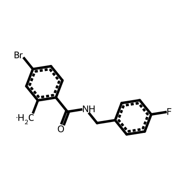 [CH2]c1cc(Br)ccc1C(=O)NCc1ccc(F)cc1